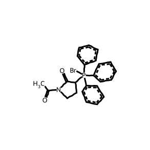 CC(=O)N1CCC(P(Br)(c2ccccc2)(c2ccccc2)c2ccccc2)C1=O